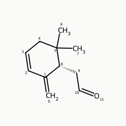 C=C1C=CCC(C)(C)[C@@H]1CC=O